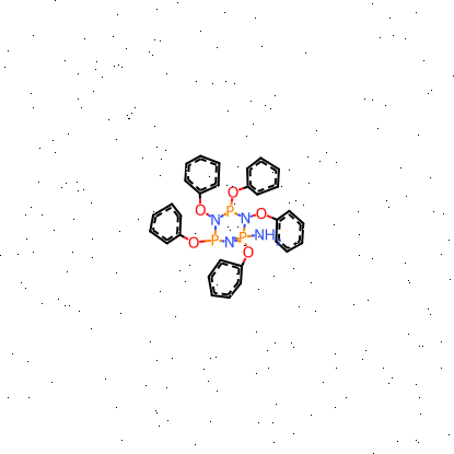 NP1(Oc2ccccc2)=NP(Oc2ccccc2)N(Oc2ccccc2)P(Oc2ccccc2)N1Oc1ccccc1